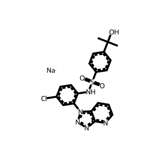 CC(C)(O)c1ccc(S(=O)(=O)Nc2ccc(Cl)cc2-n2nnc3ncccc32)cc1.[Na]